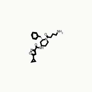 NCCCC(=O)N1CC[C@@H](NC(=O)c2cc(C3CC3)on2)C[C@@H]1Cc1ccccc1